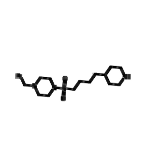 CC(C)CN1CCN(S(=O)(=O)CCC[CH]C2CCNCC2)CC1